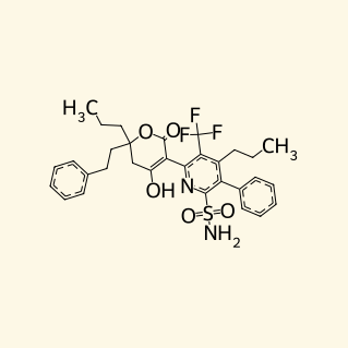 CCCc1c(-c2ccccc2)c(S(N)(=O)=O)nc(C2=C(O)CC(CCC)(CCc3ccccc3)OC2=O)c1C(F)(F)F